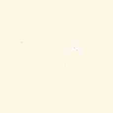 OC1CNc2c1ccc1occc21